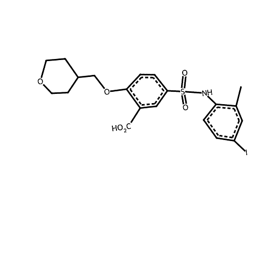 Cc1cc(I)ccc1NS(=O)(=O)c1ccc(OCC2CCOCC2)c(C(=O)O)c1